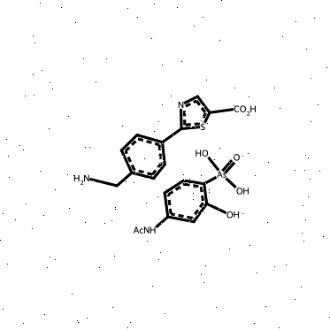 CC(=O)Nc1ccc([As](=O)(O)O)c(O)c1.NCc1ccc(-c2ncc(C(=O)O)s2)cc1